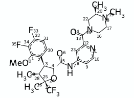 COc1c([C@H]2[C@H](C(=O)Nc3ccnc(C(=O)N4CCN(C)[C@H](C)C4)c3)O[C@@](C)(C(F)(F)F)[C@H]2C)ccc(F)c1F